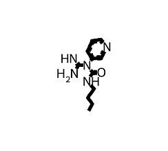 CCCCNC(=O)N(C(=N)N)c1cccnc1